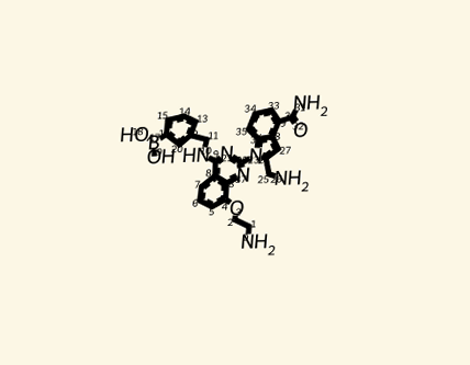 NCCOc1cccc2c(NCc3cccc(B(O)O)c3)nc(-n3c(CN)cc4c(C(N)=O)cccc43)nc12